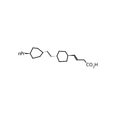 CCC[C@H]1CC[C@H](CC[C@H]2CC[C@H](C=CCC(=O)O)CC2)CC1